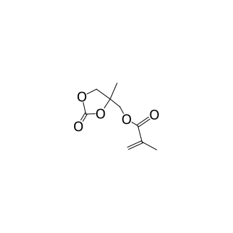 C=C(C)C(=O)OCC1(C)COC(=O)O1